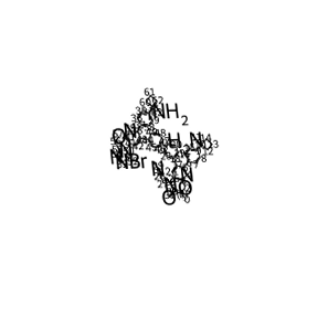 C[C@H]1Oc2nc(-c3ccc(C4(N)CCC4)cc3)c(-c3ccccc3)cc2N(CC#N)C1=O.NC1(c2ccc(-c3nc4c(cc3-c3ccccc3)-n3c(Br)nnc3CO4)cc2)CCC1